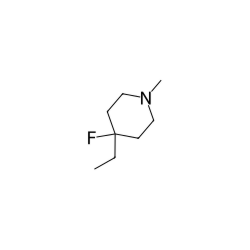 CCC1(F)CCN(C)CC1